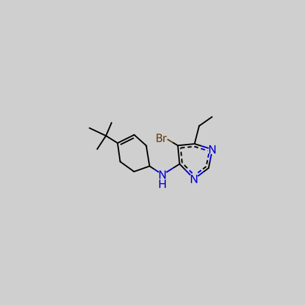 CCc1ncnc(NC2CC=C(C(C)(C)C)CC2)c1Br